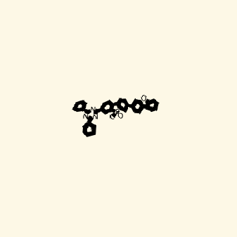 O=S1(=O)c2cc(-c3ccc4c(c3)oc3ccccc34)ccc2-c2ccc(-c3nc(-c4ccccc4)nc(-c4ccccc4)n3)cc21